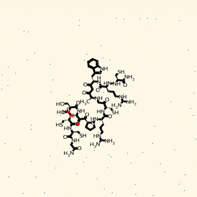 C[C@H](NCC(=O)[C@H](CS)NC(=O)[C@H](CCCNC(N)N)NN1CCC[C@H]1C(=O)C(=O)[C@H](CC(=O)O)NC(=O)[C@H](CO)NN[C@@H](CS)C(=O)N[C@@H](CS)C(=O)NCC(N)=O)C(=O)CC(=O)[C@H](Cc1c[nH]c2ccccc12)NC(=O)[C@H](CCCNC(N)N)NN[C@@H](CS)C(N)=O